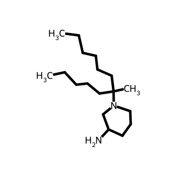 CCCCCCC(C)(CCCCC)N1CCCC(N)C1